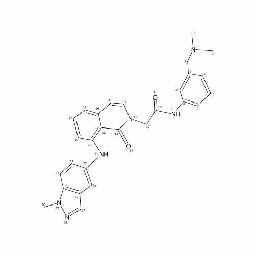 CN(C)Cc1cccc(NC(=O)Cn2ccc3cccc(Nc4ccc5c(cnn5C)c4)c3c2=O)c1